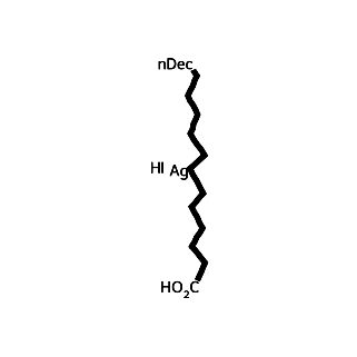 CCCCCCCCCCCCCCCCCCCCCC(=O)O.I.[Ag]